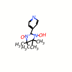 CC1(C)N(O)C(c2ccncc2)=[N+]([O-])C1(C)C